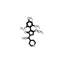 COC1=C(c2c(C)cc(C)cc2C)C(=O)C(C(O)C2CCOCC2)C1